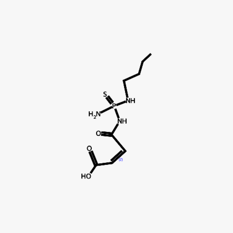 CCCCNP(N)(=S)NC(=O)/C=C\C(=O)O